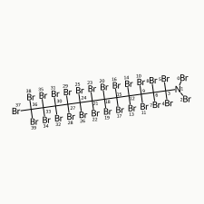 BrN(Br)C(Br)(Br)C(Br)(Br)C(Br)(Br)C(Br)(Br)C(Br)(Br)C(Br)(Br)C(Br)(Br)C(Br)(Br)C(Br)(Br)C(Br)(Br)C(Br)(Br)C(Br)(Br)Br